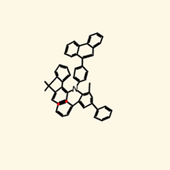 Cc1cc(-c2ccccc2)cc(-c2ccccc2)c1N(c1ccc(-c2cc3ccccc3c3ccccc23)cc1)c1cccc2c1-c1ccccc1C2(C)C